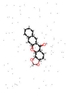 O=c1c2cc3ccccc3cc2oc2c3c(ccc12)OCO3